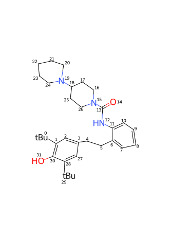 CC(C)(C)c1cc(CCc2ccccc2NC(=O)N2CCC(N3CCCCC3)CC2)cc(C(C)(C)C)c1O